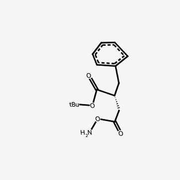 CC(C)(C)OC(=O)[C@@H](CC(=O)ON)Cc1ccccc1